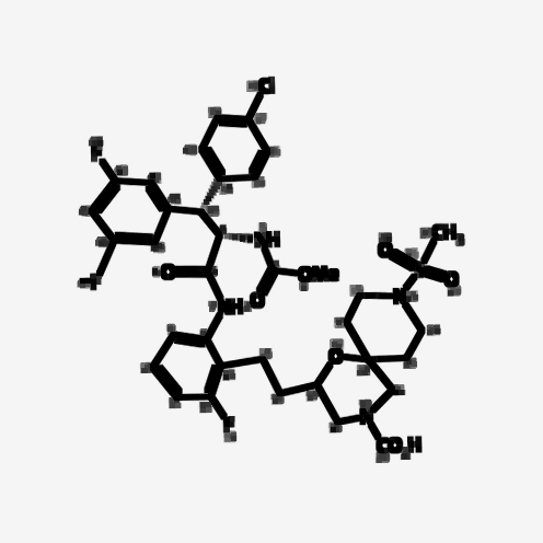 COC(=O)N[C@H](C(=O)Nc1cccc(F)c1CCC1CN(C(=O)O)CC2(CCN(S(C)(=O)=O)CC2)O1)[C@@H](c1ccc(Cl)cc1)c1cc(F)cc(F)c1